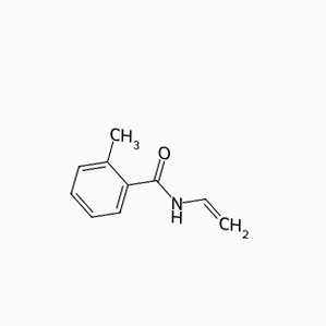 C=CNC(=O)c1ccccc1C